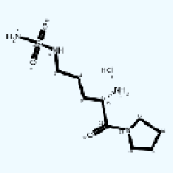 Cl.N[C@@H](CCCNS(N)(=O)=O)C(=O)N1CCCC1